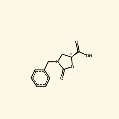 O=C(O)[C@@H]1CN(Cc2ccccc2)C(=O)O1